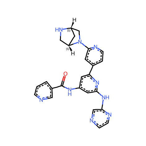 O=C(Nc1cc(Nc2cnccn2)nc(-c2ccnc(N3C[C@@H]4C[C@H]3CN4)c2)c1)c1cccnc1